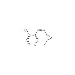 Cc1ncnc(N)c1/C=C\C1CC1C